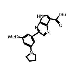 COc1cc(-c2cnc3c(C(=O)C(C)(C)C)c[nH]c3n2)cc(N2CCCC2)c1